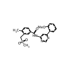 COc1ccccc1-c1cc(NC(=O)c2ccc(C)c(CS(C)(=O)=O)c2)ncn1